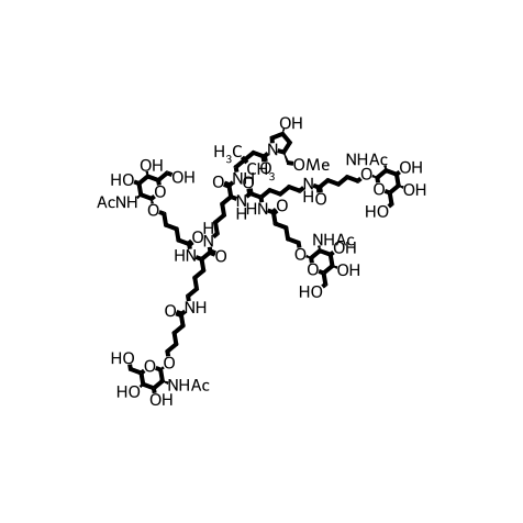 COC[C@@H]1C[C@@H](O)CN1C(=O)CC(C)(C)CNC(=O)C(CCCCNC(=O)C(CCCCNC(=O)CCCCO[C@@H]1OC(CO)[C@H](O)C(O)[C@@H]1NC(C)=O)NC(=O)CCCCO[C@@H]1OC(CO)[C@H](O)C(O)[C@@H]1NC(C)=O)NC(=O)C(CCCCNC(=O)CCCCO[C@@H]1OC(CO)[C@H](O)C(O)[C@@H]1NC(C)=O)NC(=O)CCCCO[C@@H]1OC(CO)[C@H](O)C(O)[C@@H]1NC(C)=O